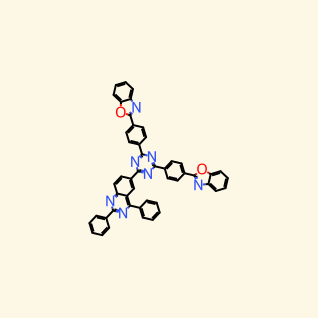 c1ccc(-c2nc(-c3ccccc3)c3cc(-c4nc(-c5ccc(-c6nc7ccccc7o6)cc5)nc(-c5ccc(-c6nc7ccccc7o6)cc5)n4)ccc3n2)cc1